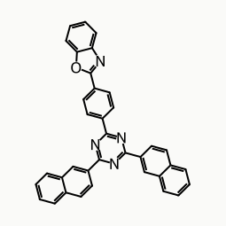 c1ccc2cc(-c3nc(-c4ccc(-c5nc6ccccc6o5)cc4)nc(-c4ccc5ccccc5c4)n3)ccc2c1